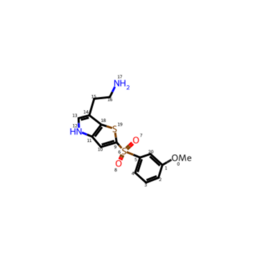 COc1cccc(S(=O)(=O)c2cc3[nH]cc(CCN)c3s2)c1